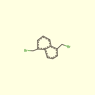 BrCc1cccc2c(CBr)cccc12